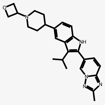 Cc1nc2ccc(-c3[nH]c4ccc(C5CCN(C6COC6)CC5)cc4c3C(C)C)cn2n1